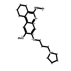 COc1cc2c3c(c(NC(C)C)nc2cc1OCCCN1CCCC1)CCCC3